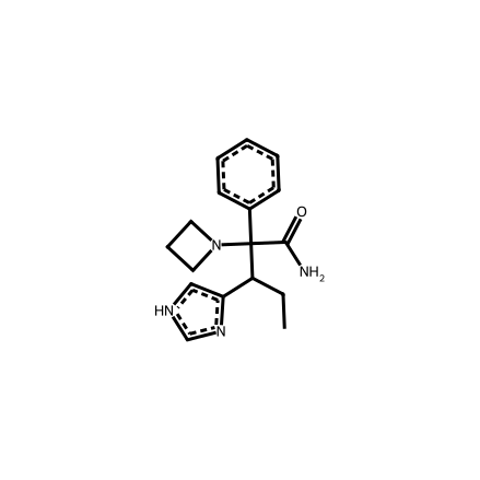 CCC(c1c[nH]cn1)C(C(N)=O)(c1ccccc1)N1CCC1